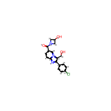 O=C(c1ccc2nc(-c3ccc(Cl)cc3)c(CO)n2c1)N1CC(O)C1